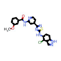 COc1cccc(C(=O)Nc2cc(-c3nsc(Nc4ccc5[nH]ncc5c4Cl)n3)ccn2)c1